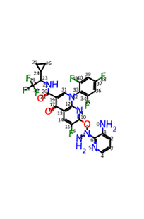 Nc1cccnc1N(N)Oc1nc2c(cc1F)c(=O)c(C(=O)NC(C1CC1)C(F)(F)F)cn2-c1c(F)cc(F)cc1F